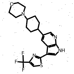 FC(F)(F)c1csc(-c2c[nH]c3ncc(C4CCC(N5CCOCC5)CC4)cc23)n1